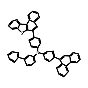 c1ccc(-c2cccc(N(c3ccc(-c4cc5ccccc5c5ccccc45)cc3)c3ccc(-c4cc5ccccc5c5c4sc4ccccc45)cc3)c2)cc1